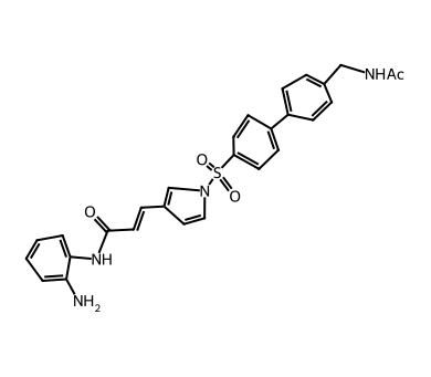 CC(=O)NCc1ccc(-c2ccc(S(=O)(=O)n3ccc(/C=C/C(=O)Nc4ccccc4N)c3)cc2)cc1